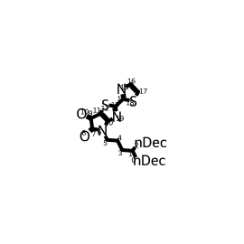 CCCCCCCCCCC(CCCCCCCCCC)CCCN1C(=O)C(=O)c2sc(-c3nccs3)nc21